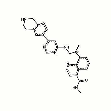 CNC(=O)c1ccnc2c([C@H](C)CNc3cc(-c4ccc5c(c4)CCNC5)ncn3)cccc12